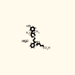 C[C@H]1CN(CCC(NC(=O)CCCC(=O)O)C2CCCCC2)CC[C@]1(C)c1cccc(O)c1.Cl.O